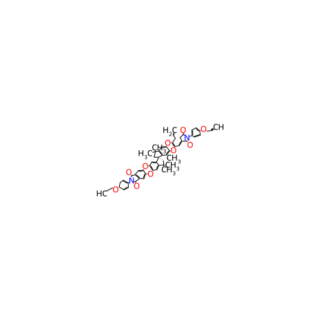 C#CCOc1ccc(N2C(=O)C/C(=C\C3=C(CC=C)Oc4cc5c(c(C)c4O3)[C@]3(CC(C)(C)c4cc6oc7cc8c(=O)n(C9=CCC(OCC#C)C=C9)c(=O)c8cc7oc6cc43)CC5(C)C)C2=O)cc1